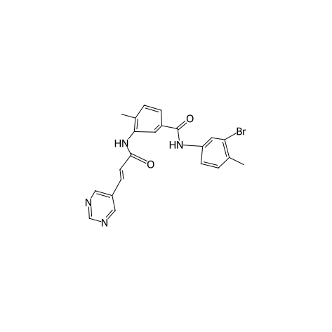 Cc1ccc(NC(=O)c2ccc(C)c(NC(=O)C=Cc3cncnc3)c2)cc1Br